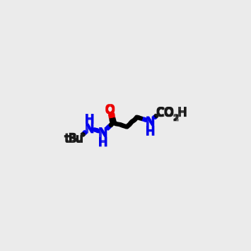 CC(C)(C)NNC(=O)CCNC(=O)O